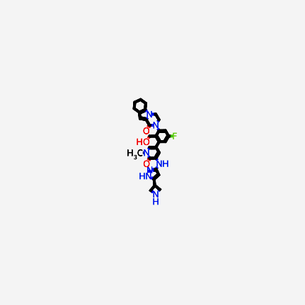 Cn1cc(-c2cc(F)cc(N3CCn4c(cc5c4CCCC5)C3=O)c2CO)cc(Nc2cc(C3CNC3)[nH]n2)c1=O